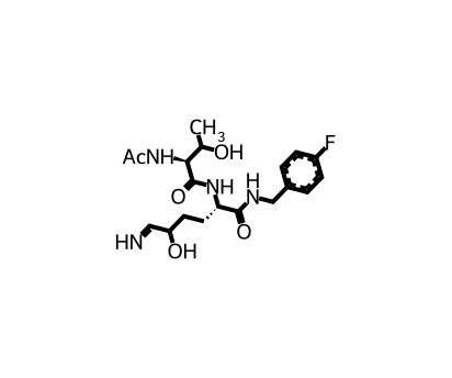 CC(=O)N[C@H](C(=O)N[C@@H](CCC(O)C=N)C(=O)NCc1ccc(F)cc1)C(C)O